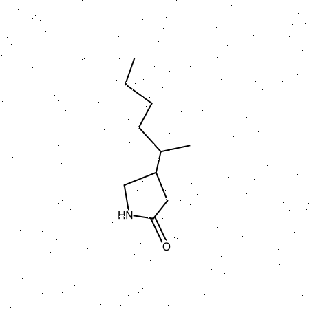 CCCCC(C)C1CNC(=O)C1